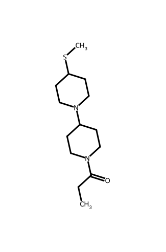 CCC(=O)N1CCC(N2CCC(SC)CC2)CC1